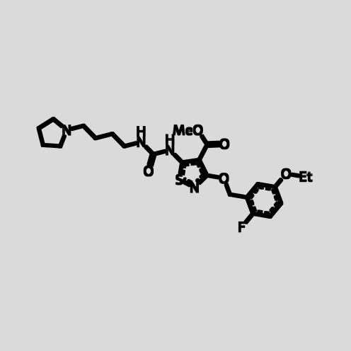 CCOc1ccc(F)c(COc2nsc(NC(=O)NCCCCN3CCCC3)c2C(=O)OC)c1